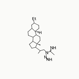 CCC1CC[C@H]2C(CCC3C2CC[C@]2(C)C(C(C)CN(N=N)C(C)=N)CCC32)C1